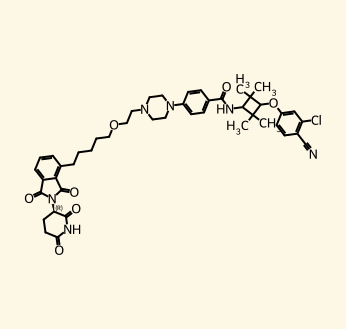 CC1(C)C(NC(=O)c2ccc(N3CCN(CCOCCCCCc4cccc5c4C(=O)N([C@@H]4CCC(=O)NC4=O)C5=O)CC3)cc2)C(C)(C)C1Oc1ccc(C#N)c(Cl)c1